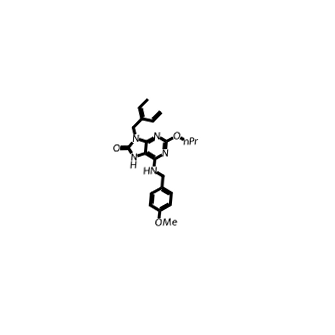 C=C/C(=C\C)Cn1c(=O)[nH]c2c(NCc3ccc(OC)cc3)nc(OCCC)nc21